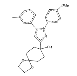 COc1ccc(-n2nc(C3(O)CCC4(CC3)OCCO4)cc2-c2cccc(C)c2)cc1